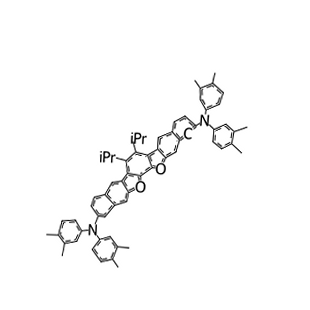 Cc1ccc(N(c2ccc(C)c(C)c2)c2ccc3cc4c(cc3c2)oc2c3oc5cc6cc(N(c7ccc(C)c(C)c7)c7ccc(C)c(C)c7)ccc6cc5c3c(C(C)C)c(C(C)C)c42)cc1C